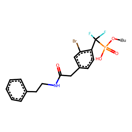 CCC(C)OP(=O)(O)C(F)(F)c1ccc(CC(=O)NCCc2ccccc2)cc1Br